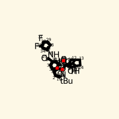 CC(C)(C)c1cccc(C(O)C(O)[C@@]2(O)C3CC[C@H]2CC(S(=O)(=O)c2cc(C(=O)Nc4ccc(F)c(F)c4)ccc2Cl)C3)n1